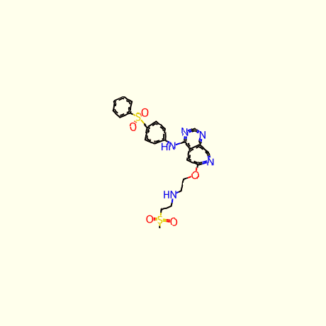 CS(=O)(=O)CCNCCOc1cc2c(Nc3ccc(S(=O)(=O)c4ccccc4)cc3)ncnc2cn1